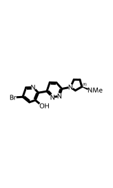 CN[C@@H]1CCN(c2ccc(-c3ncc(Br)cc3O)nn2)C1